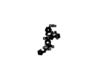 COc1ccc(COC(=O)C2(c3cc(-c4nccn4C)c(Br)s3)CS[C@@H]3C(NC(=O)Cc4cccs4)C(=O)N3C2)cc1